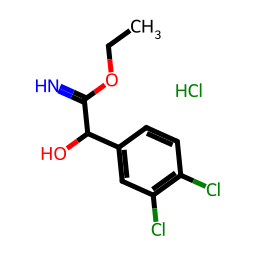 CCOC(=N)C(O)c1ccc(Cl)c(Cl)c1.Cl